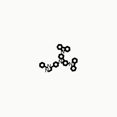 c1ccc(-c2nccc(-c3ccc(-n4c5ccc(-n6c7ccccc7c7ccccc76)cc5c5cc(-n6c7ccccc7c7ccccc76)ccc54)cc3)n2)cc1